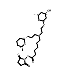 C[C@@H]1C[C@H](O)C[C@@H](OCCN(CCCCCC(=O)ON2C(=O)CCC2=O)CCC[C@H]2CCC[C@H](C)O2)O1